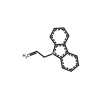 C=CCn1c2cc[c]cc2c2c[c]ccc21